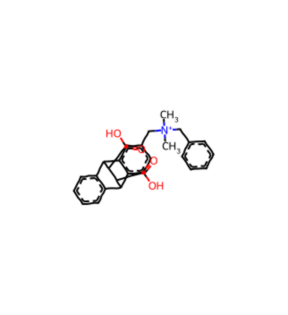 C[N+](C)(Cc1ccccc1)Cc1ccc2c(c1)C1c3ccccc3C2C(C(=O)O)C1C(=O)O